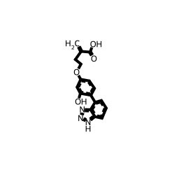 C=C(CCOc1ccc(-c2cccc3[nH]nnc23)c(O)c1)C(=O)O